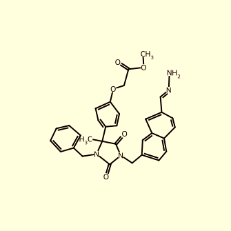 COC(=O)COc1ccc(C2(C)C(=O)N(Cc3ccc4ccc(C=NN)cc4c3)C(=O)N2Cc2ccccc2)cc1